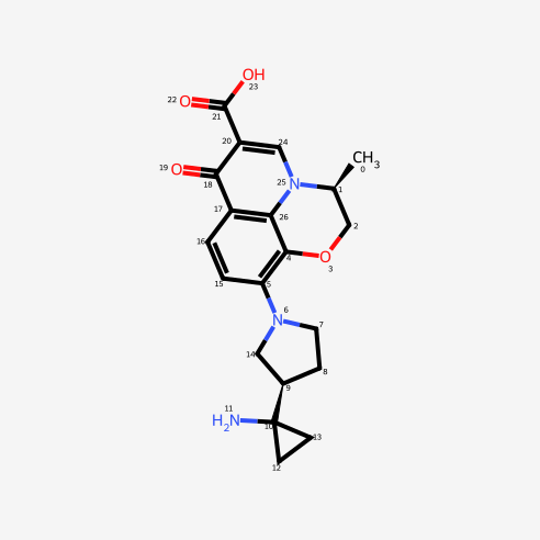 C[C@H]1COc2c(N3CC[C@@H](C4(N)CC4)C3)ccc3c(=O)c(C(=O)O)cn1c23